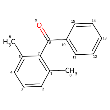 Cc1cccc(C)c1C(=O)c1cc[c]cc1